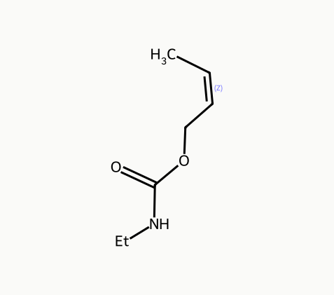 C/C=C\COC(=O)NCC